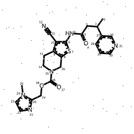 CC(CC(=O)Nc1sc2c(c1C#N)CCN(C(=O)OCc1nccn1C)C2)c1cccnc1